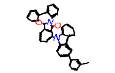 Cc1cccc(-c2ccc3c(c2)c2ccccc2n3-c2cccc3c2C(=O)N(c2ccccc2-c2ccccc2)C3=O)c1